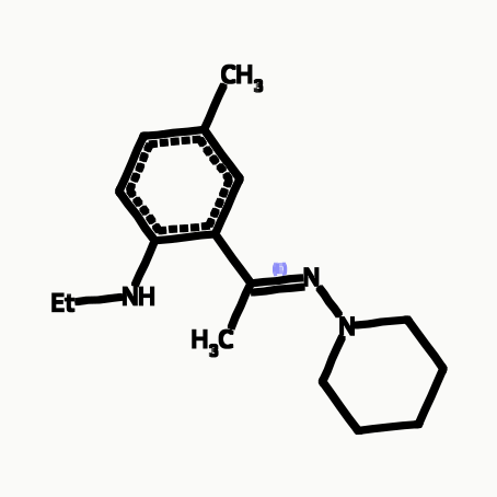 CCNc1ccc(C)cc1/C(C)=N/N1CCCCC1